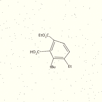 CCOC(=O)c1ccc(CC)c(C(C)(C)C)c1C(=O)O